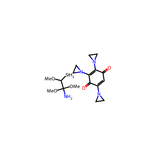 COC([SiH3])C(N)(OC)OC.O=C1C=C(N2CC2)C(=O)C(N2CC2)=C1N1CC1